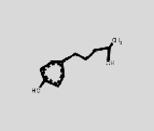 CC(O)CCCc1ccc(O)cc1